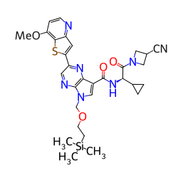 COc1ccnc2cc(-c3cnc4c(n3)c(C(=O)N[C@@H](C(=O)N3CC(C#N)C3)C3CC3)cn4COCC[Si](C)(C)C)sc12